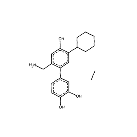 CC.NCc1cc(O)c(C2CCCCC2)cc1-c1ccc(O)c(O)c1